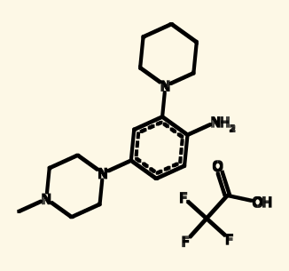 CN1CCN(c2ccc(N)c(N3CCCCC3)c2)CC1.O=C(O)C(F)(F)F